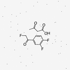 CC(=O)CC(=O)O.O=C(CF)c1ccc(F)c(F)c1